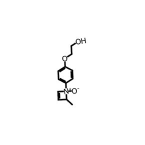 CC1C=C[N+]1([O-])c1ccc(OCCO)cc1